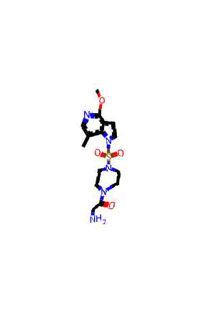 COc1ncc(C)c2c1ccn2S(=O)(=O)N1CCN(C(=O)CN)CC1